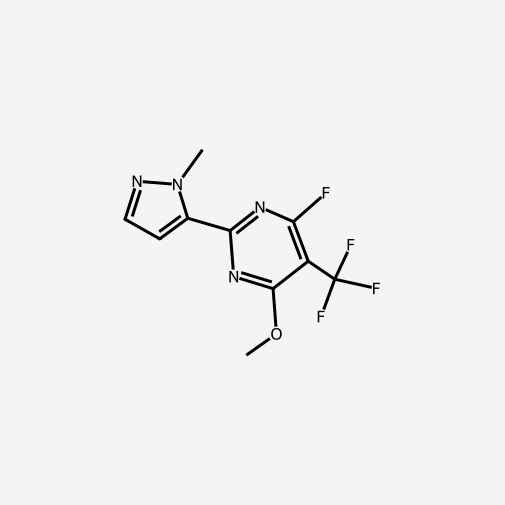 COc1nc(-c2ccnn2C)nc(F)c1C(F)(F)F